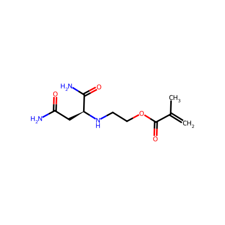 C=C(C)C(=O)OCCN[C@@H](CC(N)=O)C(N)=O